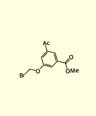 COC(=O)c1cc(OCBr)cc(C(C)=O)c1